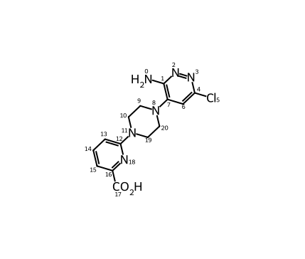 Nc1nnc(Cl)cc1N1CCN(c2cccc(C(=O)O)n2)CC1